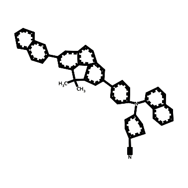 CC1(C)c2cc(-c3ccc(N(c4ccc(C#N)cc4)c4cccc5ccccc45)cc3)cc3ccc4cc(-c5ccc6ccccc6c5)cc1c4c23